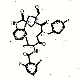 Cc1ccc(C[C@H](CC(=O)[C@@H](NC(=O)c2c(F)cccc2F)C(C)C)C(=O)N2C[C@]3(C[C@H]2C=O)C(=O)Nc2ccccc23)cc1